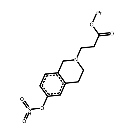 CC(C)OC(=O)CCN1CCc2cc(O[SH](=O)=O)ccc2C1